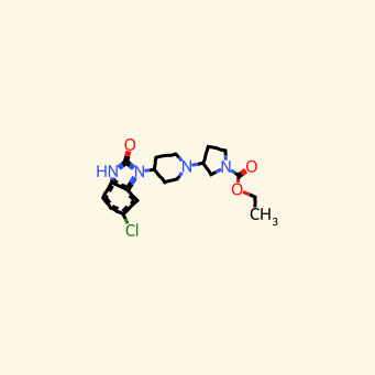 CCOC(=O)N1CCC(N2CCC(n3c(=O)[nH]c4ccc(Cl)cc43)CC2)C1